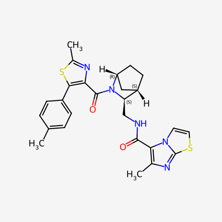 Cc1ccc(-c2sc(C)nc2C(=O)N2[C@@H]3CC[C@@H](C3)[C@H]2CNC(=O)c2c(C)nc3sccn23)cc1